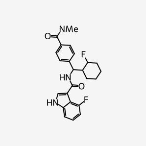 CNC(=O)c1ccc(C(NC(=O)c2c[nH]c3cccc(F)c23)C2CCCCC2F)cc1